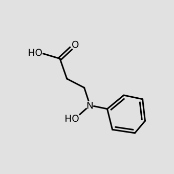 O=C(O)CCN(O)c1ccccc1